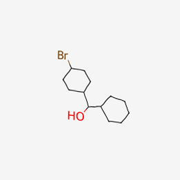 OC(C1CCCCC1)C1CCC(Br)CC1